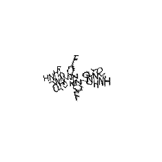 CN[C@H](C)C(=O)N[C@@H](C(=O)N1CCC[C@H]1Cn1c(-c2nc3cc(F)ccc3n2C[C@@H]2CC(F)CN2C(=O)[C@H](NC(=O)[C@@H](C)NC)C(C)C)nc2cc(F)ccc21)C(C)C